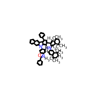 CC1(C)CCC(C)(C)c2cc(Nc3cc4c(cc3-c3cc(-c5ccccc5)c5c6cc7ccccc7cc6n6c5c3Bc3cc5nc(-c7ccccc7)oc5cc3-6)C(C)(C)CCC4(C)C)ccc21